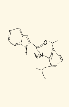 CC(C)c1cccc(C(C)C)c1NC(=O)c1cc2ccccc2[nH]1